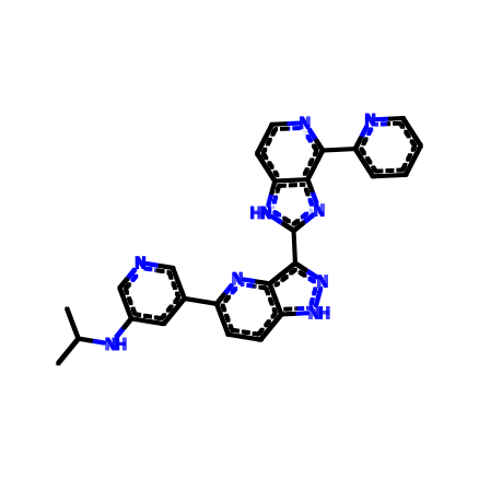 CC(C)Nc1cncc(-c2ccc3[nH]nc(-c4nc5c(-c6ccccn6)nccc5[nH]4)c3n2)c1